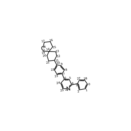 c1ccc(-c2cc(-c3ccc(C4CCC5(CCCCC5)CC4)cc3)ccn2)cc1